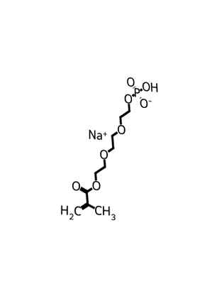 C=C(C)C(=O)OCCOCCOCCOP(=O)([O-])O.[Na+]